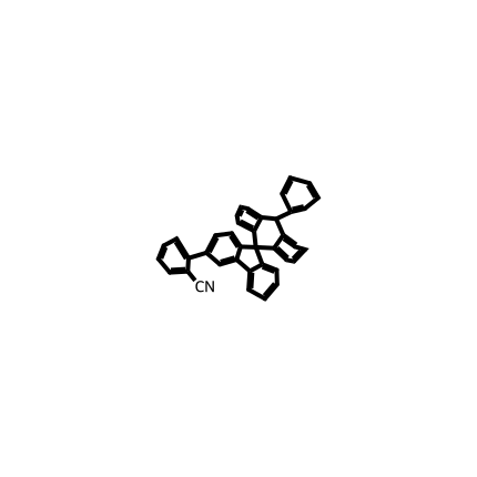 N#Cc1ccccc1-c1ccc2c(c1)-c1ccccc1C21c2ccccc2C(c2ccccc2)c2ccccc21